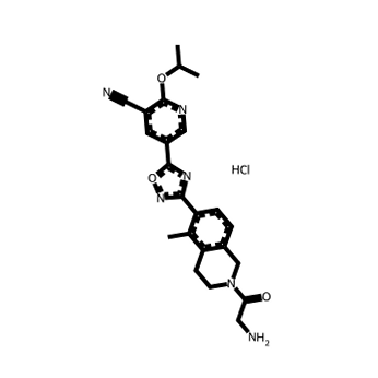 Cc1c(-c2noc(-c3cnc(OC(C)C)c(C#N)c3)n2)ccc2c1CCN(C(=O)CN)C2.Cl